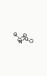 COc1cc2c(CC=O)ccnc2cc1OCc1ccccc1